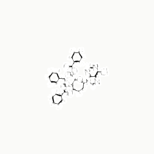 O=C(OC[C@H]1O[C@@H](n2cnc3c(Cl)ncnc32)CC[C@@H](OC(=O)c2ccccc2)[C@@H]1OC(=O)c1ccccc1)c1ccccc1